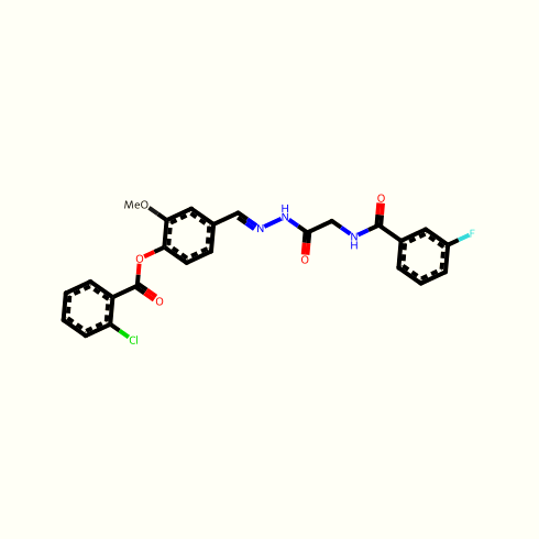 COc1cc(/C=N/NC(=O)CNC(=O)c2cccc(F)c2)ccc1OC(=O)c1ccccc1Cl